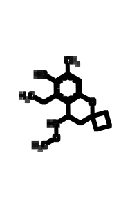 CCc1c(O)c(C)cc2c1C(NOC)CC1(CCC1)O2